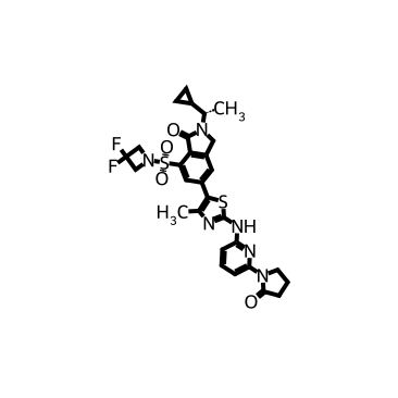 Cc1nc(Nc2cccc(N3CCCC3=O)n2)sc1-c1cc2c(c(S(=O)(=O)N3CC(F)(F)C3)c1)C(=O)N([C@@H](C)C1CC1)C2